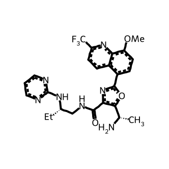 CC[C@@H](CNC(=O)c1nc(-c2ccc(OC)c3nc(C(F)(F)F)ccc23)oc1[C@H](C)N)Nc1ncccn1